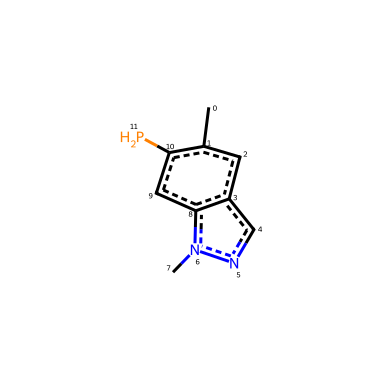 Cc1cc2cnn(C)c2cc1P